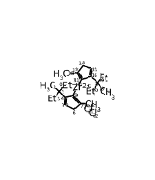 CCC(C)(CC)C1=CCC(C)=[C]1[Zr+2][C]1=C(C)CC=C1C(C)(CC)CC.[Cl-].[Cl-]